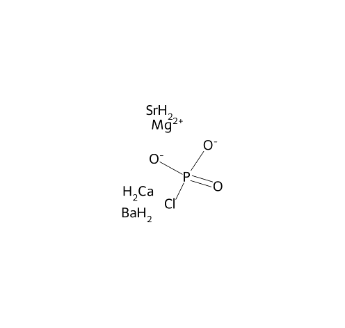 O=P([O-])([O-])Cl.[BaH2].[CaH2].[Mg+2].[SrH2]